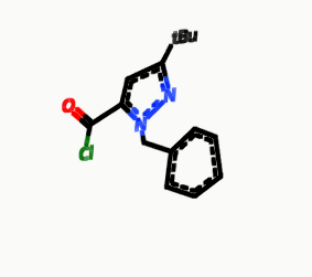 CC(C)(C)c1cc(C(=O)Cl)n(Cc2ccccc2)n1